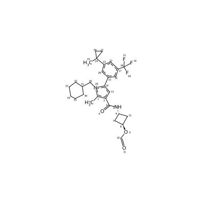 Cc1c(C(=O)N[C@H]2C[C@H](OC=O)C2)cc(-c2cc(C(F)(F)F)cc(C3(C)CC3)c2)n1CC1CCCCC1